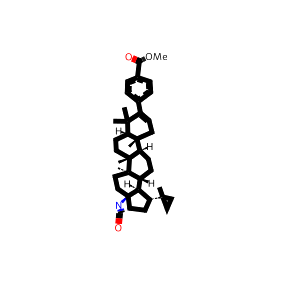 COC(=O)c1ccc(C2=CC[C@]3(C)[C@H]4CC[C@@H]5[C@H]6[C@H](C7(C)CC7)CC[C@]6(N=C=O)CC[C@@]5(C)[C@]4(C)CC[C@H]3C2(C)C)cc1